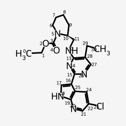 CCOC(=O)N1CCCC[C@H]1CNc1nc(-c2c[nH]c3ncc(Cl)cc23)ncc1CC